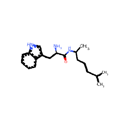 CC(C)CCCC(C)NC(=O)[C@H](N)Cc1c[nH]c2ccccc12